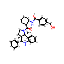 O=C(N[C@@H]1CCCC[C@@H]1C(=O)N1CC[C@H]2[C@H](c3ccccc3)Nc3ccccc3[C@@H]21)c1ccc(CO)cc1